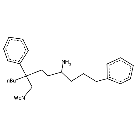 CCCCC(CCC(N)CCCc1ccccc1)(CNC)c1ccccc1